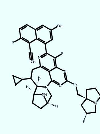 C#Cc1c(F)ccc2cc(O)cc(-c3nc4c5c(nc(OC[C@@]67CCCN6C[C@H](F)C7)nc5c3F)N3C[C@H]5CC[C@H](N5)[C@H]3C(C3CC3)C4)c12